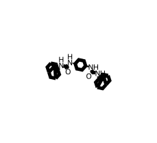 O=C(NC12CC3CC(CC(C3)C1)C2)N[C@H]1CC[C@H](NC(=O)NC23CC4CC(CC(C4)C2)C3)CC1